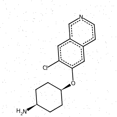 N[C@H]1CC[C@@H](Oc2cc3ccncc3cc2Cl)CC1